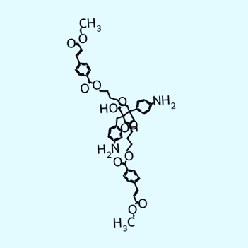 CCOC(=O)C=Cc1ccc(C(=O)OCCCCCCC(CCCCCCOC(=O)c2ccc(C=CC(=O)OCC)cc2)(c2ccc(N)cc2)C(Cc2ccc(N)cc2)(C(=O)O)C(=O)O)cc1